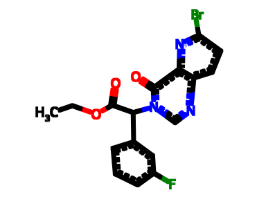 CCOC(=O)C(c1cccc(F)c1)n1cnc2ccc(Br)nc2c1=O